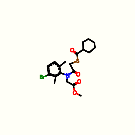 COC(=O)CN(C(=O)CSC(=O)C1CCCCC1)c1c(C)ccc(Br)c1C